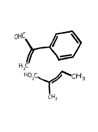 C=C(C=O)c1ccccc1.CC=C(C)C(=O)O